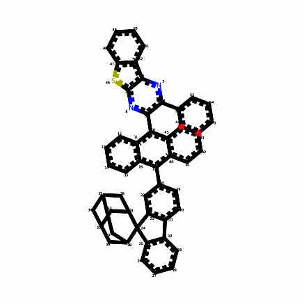 c1ccc(-c2nc3c(nc2-c2c4ccccc4c(-c4ccc5c(c4)C4(c6ccccc6-5)C5CC6CC(C5)CC4C6)c4ccccc24)sc2ccccc23)cc1